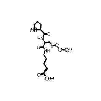 O=C(O)CCCCNC(=O)C(CSOOO)NC(=O)C1CCCN1